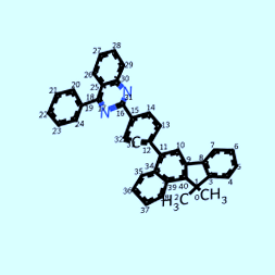 CC1(C)c2ccccc2-c2cc(-c3ccc(-c4nc(-c5ccccc5)c5ccccc5n4)cc3)c3ccccc3c21